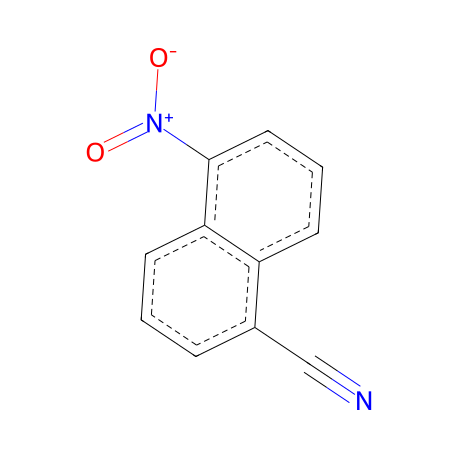 N#Cc1cccc2c([N+](=O)[O-])cccc12